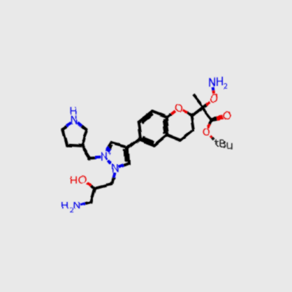 CC(C)(C)OC(=O)C(C)(ON)C1CCc2cc(-c3cn(CC(O)CN)[n+](CC4CCNC4)c3)ccc2O1